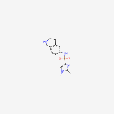 Cc1nc(S(=O)(=O)Nc2ccc3c(c2)CCNC3)cn1C